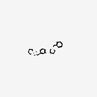 CO[C@@H]1CN(C(=O)c2cc(C)ccc2C)C[C@H]1Oc1cccc(CS(=O)(=O)N2CCCC2)c1